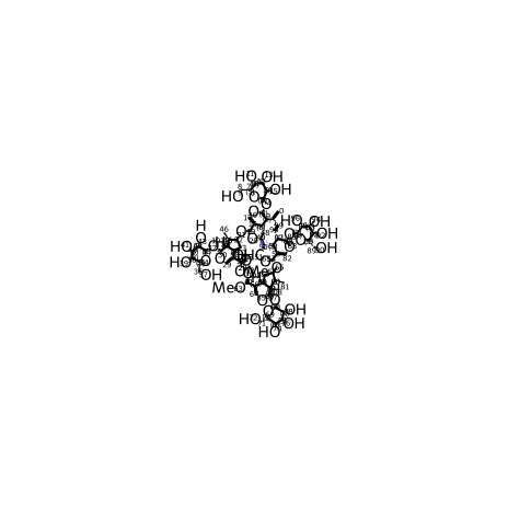 C=C[C@@H]1[C@H](O[C@H]2O[C@@H](CO)[C@H](O)[C@H](O)[C@H]2O)OC=C(C(=O)OC2C[C@H]3C(C(=O)OC)=COC(O[C@H]4O[C@@H](CO)[C@H](O)[C@H](O)[C@H]4O)[C@H]3[C@H]2C)[C@H]1C/C=C(/C=O)[C@H]1C(C(=O)OC2C[C@H]3C(C(=O)OC)=CO[C@H](O[C@H]4O[C@@H](CO)[C@H](O)[C@H](O)[C@H]4O)[C@@H]3[C@@H]2C)=CO[C@@H](O[C@H]2O[C@@H](CO)[C@H](O)[C@H](O)[C@H]2O)[C@H]1C=C